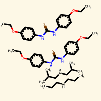 CC(C)[CH2][AlH][CH2]C(C)C.CCOc1ccc(NC(=S)Nc2ccc(OCC)cc2)cc1.CCOc1ccc(NC(=S)Nc2ccc(OCC)cc2)cc1.CC[CH2][AlH][CH2]CC